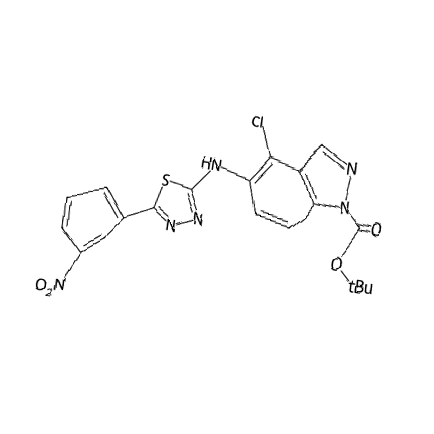 CC(C)(C)OC(=O)n1ncc2c(Cl)c(Nc3nnc(-c4cccc([N+](=O)[O-])c4)s3)ccc21